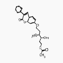 CC(=O)OCCC(O)C(O)CCOC1=CC2OC(=O)C(c3ccccc3)=CC2C=C1